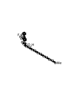 COCCOCCOCCOCCOCCOCCOCCOCCOCCOCCO[C@](C)(C(=O)O)C1CN(c2ccc3cc(-c4ccccc4C(F)(F)F)[nH]c(=O)c3c2)C(=O)O1